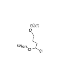 [CH2]CC(CCCOCCCCCCCC)OCCCCCCCCC